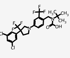 CC(C)(C)N(Cc1ccc(N2CCC(c3cc(Cl)cc(Cl)c3)(C(F)(F)F)C2)cc1C(F)(F)F)C(=O)O